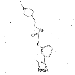 Cc1n[nH]cc1-c1c[c]cc(OCC(=O)NCCN2CCN(C)CC2)c1